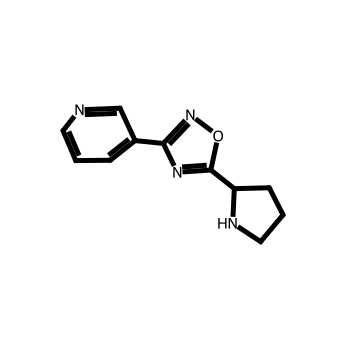 c1cncc(-c2noc(C3CCCN3)n2)c1